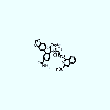 CCCCc1cc2ccccc2c(OCC[N+](C)(C)[C@@H](C(=O)OC)c2ccc(C(N)=O)cc2-c2ccc3c(c2)OCO3)n1